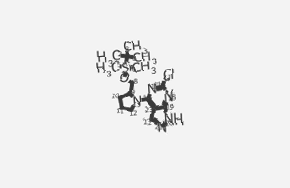 CC(C)(C)[Si](C)(C)OCC1CCCN1c1nc(Cl)nc2[nH]ncc12